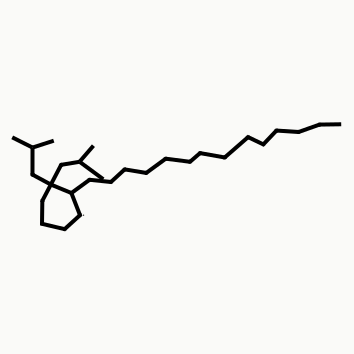 CCCCCCCCCCCCCCC1[CH]CCCC1(CC(C)C)CC(C)C